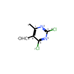 Cc1nc(Cl)nc(Cl)c1[C]=O